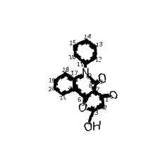 O=c1cc(O)oc2c1c(=O)n(-c1ccccc1)c1ccccc21